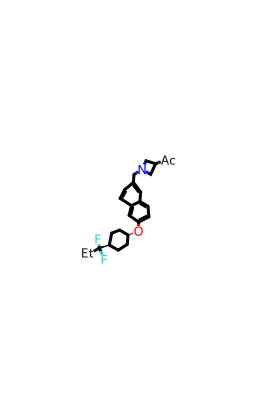 CCC(F)(F)[C@H]1CC[C@H](Oc2ccc3cc(CN4CC(C(C)=O)C4)ccc3c2)CC1